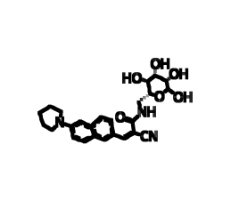 N#C/C(=C/c1ccc2cc(N3CCCCC3)ccc2c1)C(=O)NC[C@H]1OC(O)[C@@H](O)[C@@H](O)[C@@H]1O